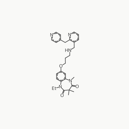 CCN1C(=O)C(C)(C)C(=O)N(C)c2cc(OCCCNCc3cccnc3Cc3ccncc3)ccc21